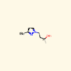 C[C@@H](O)CCn1ccc(C(C)(C)C)n1